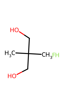 CC(C)(CO)CO.F